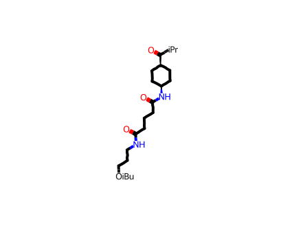 CC(C)COCCCNC(=O)CCCC(=O)N[C@H]1CC[C@@H](C(=O)C(C)C)CC1